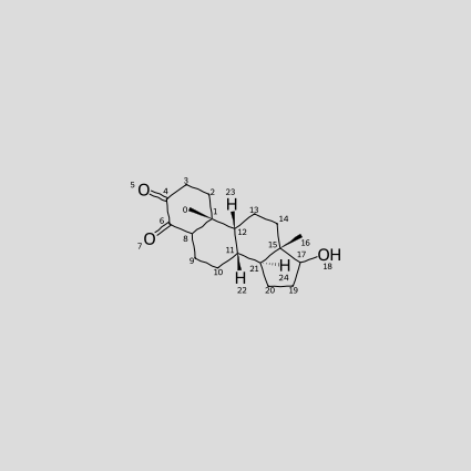 C[C@]12CCC(=O)C(=O)C1CC[C@@H]1[C@H]2CC[C@]2(C)C(O)CC[C@@H]12